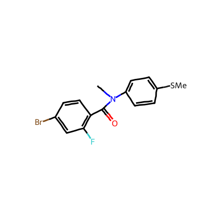 CSc1ccc(N(C)C(=O)c2ccc(Br)cc2F)cc1